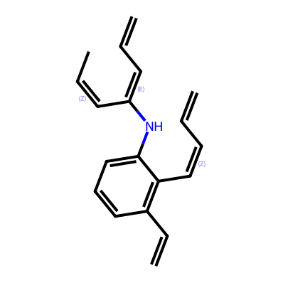 C=C/C=C\c1c(C=C)cccc1NC(/C=C\C)=C/C=C